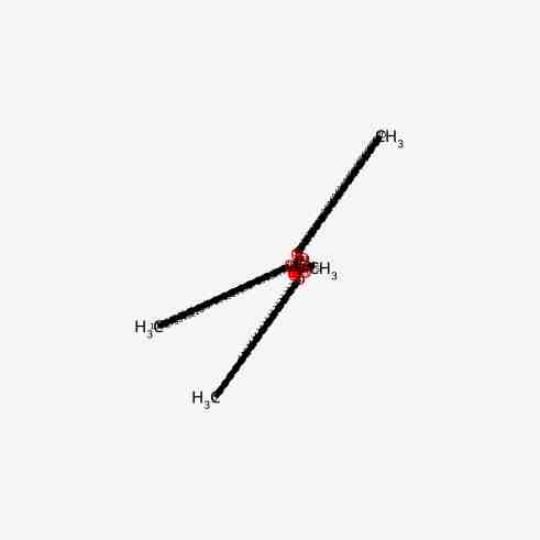 CC#CC#CC#CC#CC#CC#CC#CC#CC#CC#CC#CC#CC#CC#CC#COC(=O)CC(CC(=O)OC#CC#CC#CC#CC#CC#CC#CC#CC#CC#CC#CC#CC#CC#CC#CC)(OC(=O)CC)C(=O)OC#CC#CC#CC#CC#CC#CC#CC#CC#CC#CC#CC#CC#CC#CC#CC